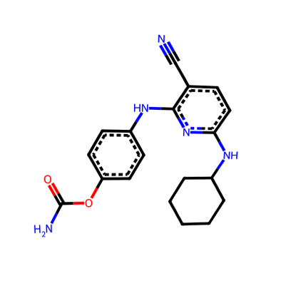 N#Cc1ccc(NC2CCCCC2)nc1Nc1ccc(OC(N)=O)cc1